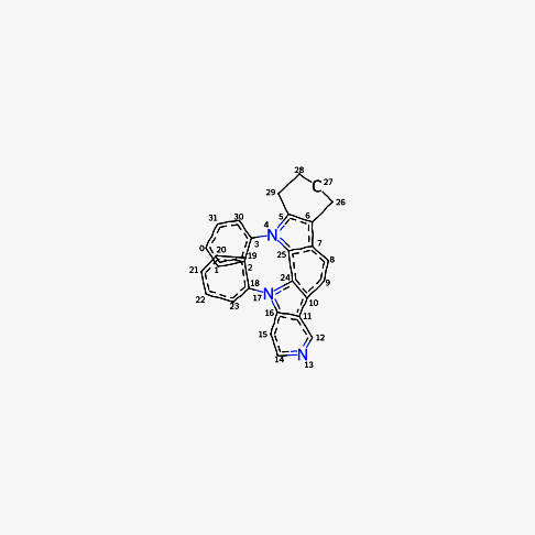 c1ccc(-n2c3c(c4ccc5c6cnccc6n(-c6ccccc6)c5c42)CCCC3)cc1